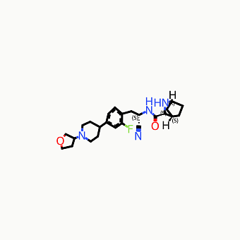 N#C[C@H](Cc1ccc(C2CCN(C3CCOC3)CC2)cc1F)NC(=O)[C@H]1N[C@@H]2CC[C@H]1C2